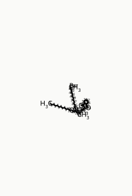 CCCCCCCCCCCCOCC(C[N+](C)(C)CCCN1C(=O)c2ccccc2C1=O)OCCCCCCCCCCCC.[Br-]